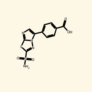 NS(=O)(=O)c1nn2c(-c3ccc(C(=O)O)cc3)cnc2s1